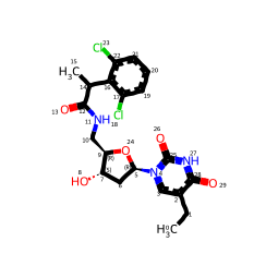 CCc1cn([C@H]2C[C@H](O)[C@@H](CNC(=O)C(C)c3c(Cl)cccc3Cl)O2)c(=O)[nH]c1=O